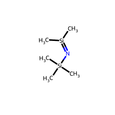 C[Si](C)=N[Si](C)(C)C